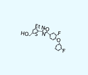 CCc1cc(CO)sc1-c1noc(-c2ccc(Oc3cccc(F)c3)c(F)c2)n1